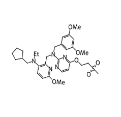 CCN(CC1CCCC1)c1ccc(OC)nc1CN(Cc1cc(OC)cc(OC)c1)c1nccc(OCCS(C)(=O)=O)n1